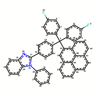 Fc1ccc(C(c2ccc(F)cc2)(c2ccc(-c3nc4ccccc4n3-c3ccccc3)cc2)c2cc3cccc4ccc5cccc2c5c43)cc1